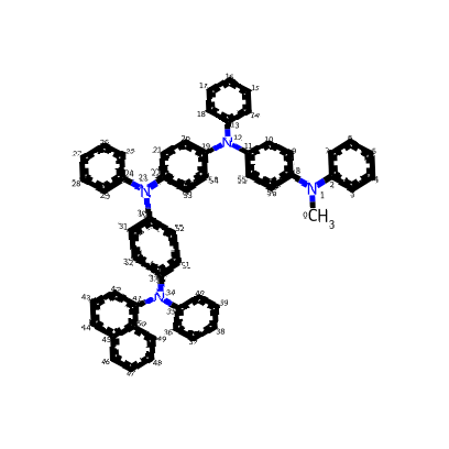 CN(c1ccccc1)c1ccc(N(c2ccccc2)c2ccc(N(c3ccccc3)c3ccc(N(c4ccccc4)c4cccc5ccccc45)cc3)cc2)cc1